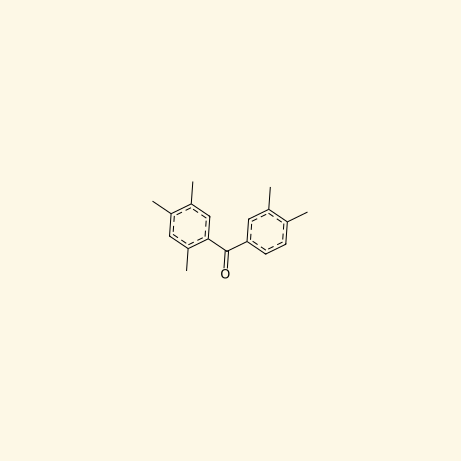 Cc1ccc(C(=O)c2cc(C)c(C)cc2C)cc1C